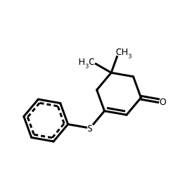 CC1(C)CC(=O)C=C(Sc2ccccc2)C1